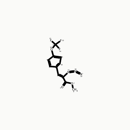 COC(=O)/C(=C/c1ccc(OC(F)(F)F)cc1)N=[N+]=[N-]